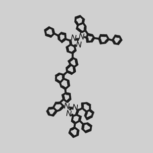 c1ccc(-c2ccc(-c3ccc4c(c3)c3cc5ccccc5cc3n4-c3nc(-c4ccc(-c5ccccc5)cc4)c4ccc(-c5ccc6ccc(-c7cccc8cc(-c9ccc%10c(c9)c9cc%11ccccc%11cc9n%10-c9nc(-c%10cccc%11ccccc%10%11)c%10cc(-c%11ccccc%11)c(-c%11ccccc%11)cc%10n9)ccc78)cc6c5)cc4n3)cc2)cc1